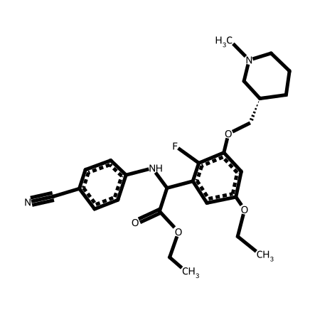 CCOC(=O)C(Nc1ccc(C#N)cc1)c1cc(OCC)cc(OC[C@H]2CCCN(C)C2)c1F